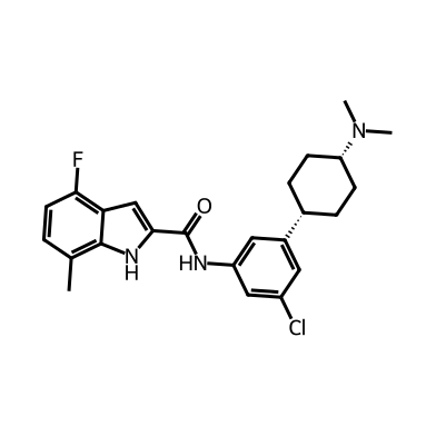 Cc1ccc(F)c2cc(C(=O)Nc3cc(Cl)cc([C@H]4CC[C@@H](N(C)C)CC4)c3)[nH]c12